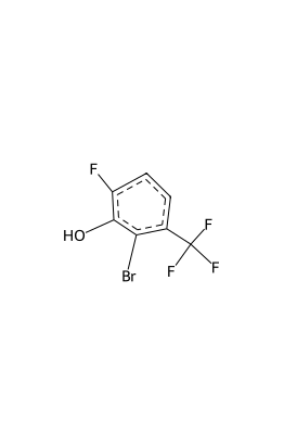 Oc1c(F)ccc(C(F)(F)F)c1Br